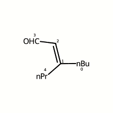 CCCC/C(=C/C=O)CCC